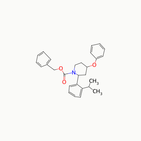 CC(C)c1ccccc1C1CC(Oc2ccccc2)CCN1C(=O)OCc1ccccc1